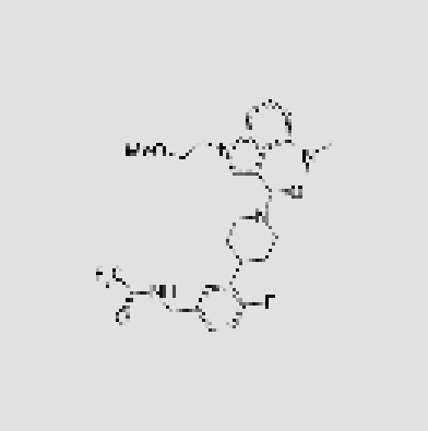 COCCn1cc(C(=O)N2CCC(c3cc(CNC(=O)C(F)(F)F)ccc3F)CC2)c2c(N(C)C)cccc21